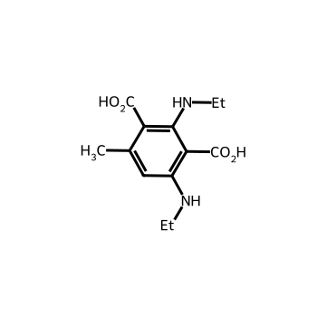 CCNc1cc(C)c(C(=O)O)c(NCC)c1C(=O)O